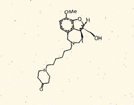 COc1ccc2c3c1O[C@H]1C[C@@H](O)C(C)[C@@]31CCN(CCCCCCN1CCC(=O)CC1)C2